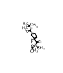 CON(C)C(=O)[C@]1(F)CCN(C(=O)OC(C)(C)C)C1